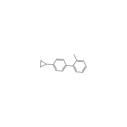 Cc1ccccc1-c1c[c]c(C2CC2)cc1